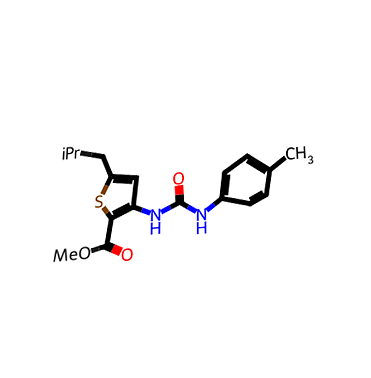 COC(=O)c1sc(CC(C)C)cc1NC(=O)Nc1ccc(C)cc1